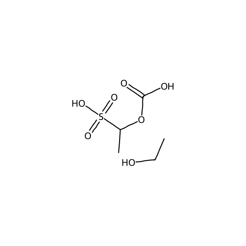 CC(OC(=O)O)S(=O)(=O)O.CCO